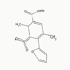 COC(=O)C1=CC(C)=C(c2ccco2)C(=S(=O)=O)C1C